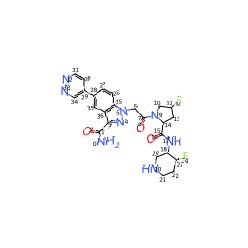 NC(=O)c1nn(CC(=O)N2CC(F)CC2C(=O)NC2CNCCC2F)c2ccc(-c3ccnnc3)cc12